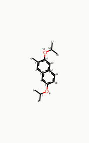 Cc1cc2cc(OC(C)C)ccc2cc1OC(C)C